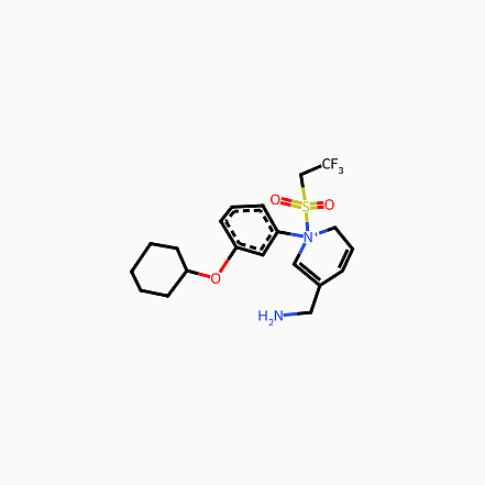 NCC1=C[N+](c2cccc(OC3CCCCC3)c2)(S(=O)(=O)CC(F)(F)F)CC=C1